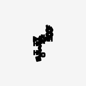 CN1CCc2ccc(Nc3ncc(C4CC4)c(NCCCNC(=O)C4CCC4)n3)cc2C1